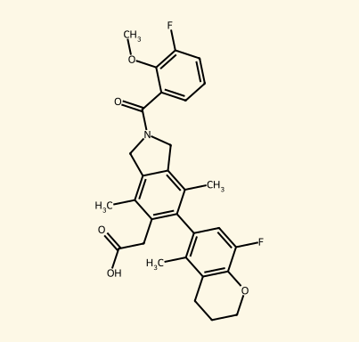 COc1c(F)cccc1C(=O)N1Cc2c(C)c(CC(=O)O)c(-c3cc(F)c4c(c3C)CCCO4)c(C)c2C1